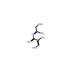 C=C(/N=C(\C)COC(C)=O)/C(C)=C\CCC